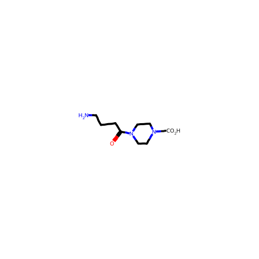 NCCCC(=O)N1CCN(C(=O)O)CC1